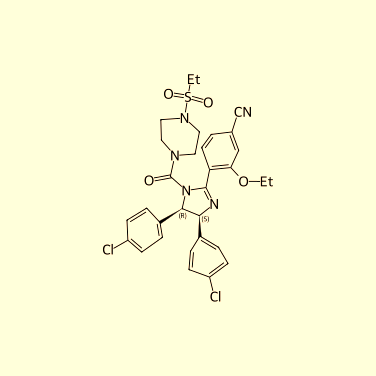 CCOc1cc(C#N)ccc1C1=N[C@@H](c2ccc(Cl)cc2)[C@@H](c2ccc(Cl)cc2)N1C(=O)N1CCN(S(=O)(=O)CC)CC1